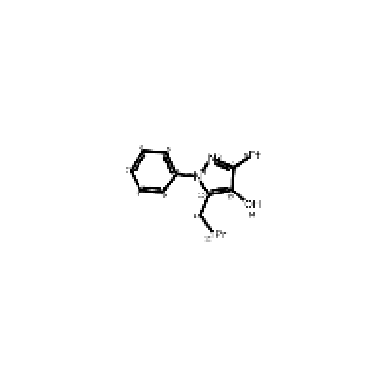 CCc1nn(-c2ccccc2)c(CC(C)C)c1O